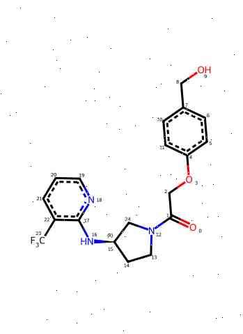 O=C(COc1ccc(CO)cc1)N1CC[C@@H](Nc2ncccc2C(F)(F)F)C1